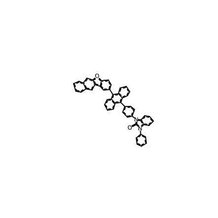 O=c1n(-c2ccccc2)c2ccccc2n1-c1ccc(-c2c3ccccc3c(-c3ccc4oc5cc6ccccc6cc5c4c3)c3ccccc23)cc1